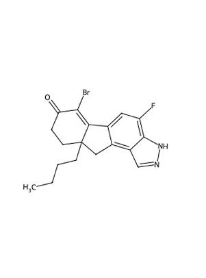 CCCCC12CCC(=O)C(Br)=C1c1cc(F)c3[nH]ncc3c1C2